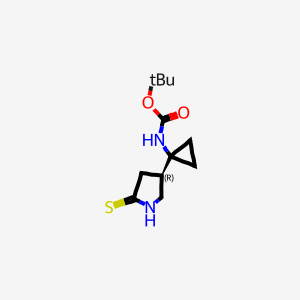 CC(C)(C)OC(=O)NC1([C@H]2CNC(=S)C2)CC1